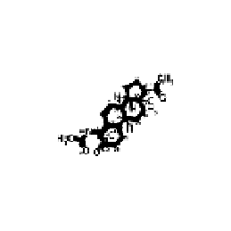 CC(=O)NC1=C2C=C[C@H]3[C@@H]4CC[C@H](C(C)=O)[C@@]4(C)CC[C@@H]3[C@@]2(C)CCC1=O